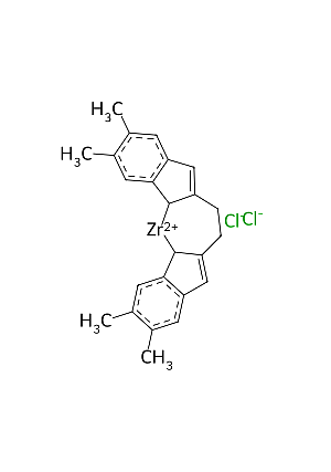 Cc1cc2c(cc1C)[CH]1[Zr+2][CH]3C(=Cc4cc(C)c(C)cc43)CCC1=C2.[Cl-].[Cl-]